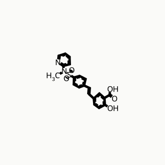 CN(c1ccccn1)S(=O)(=O)c1ccc(C=Cc2ccc(O)c(C(=O)O)c2)cc1